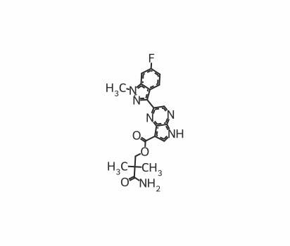 Cn1nc(-c2cnc3[nH]cc(C(=O)OCC(C)(C)C(N)=O)c3n2)c2ccc(F)cc21